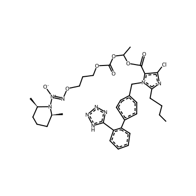 CCCCc1nc(Cl)c(C(=O)OC(C)OC(=O)OCCCO/N=[N+](\[O-])N2[C@H](C)CCC[C@@H]2C)n1Cc1ccc(-c2ccccc2-c2nnn[nH]2)cc1